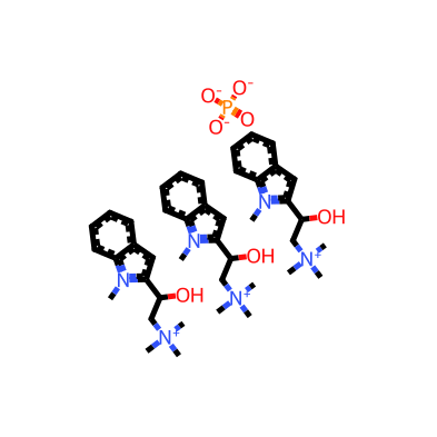 Cn1c(C(O)C[N+](C)(C)C)cc2ccccc21.Cn1c(C(O)C[N+](C)(C)C)cc2ccccc21.Cn1c(C(O)C[N+](C)(C)C)cc2ccccc21.O=P([O-])([O-])[O-]